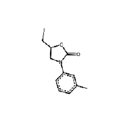 Cc1cccc(N2CC(CI)OC2=O)c1